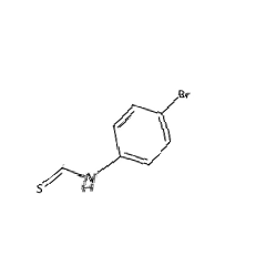 S=[C]Nc1ccc(Br)cc1